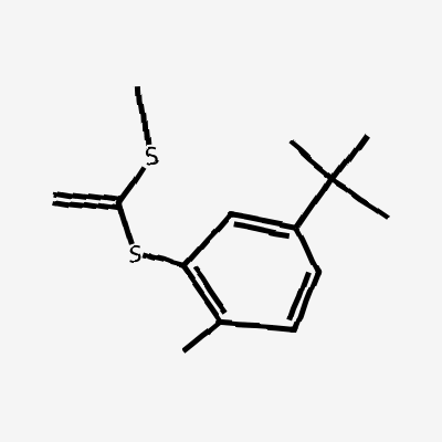 C=C(SC)Sc1cc(C(C)(C)C)ccc1C